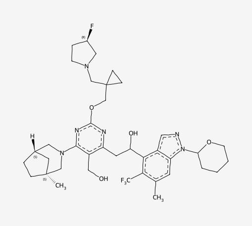 Cc1cc2c(cnn2C2CCCCO2)c(C(O)Cc2nc(OCC3(CN4CC[C@@H](F)C4)CC3)nc(N3C[C@H]4CC[C@@](C)(C4)C3)c2CO)c1C(F)(F)F